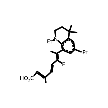 CCN1CCC(C)(C)c2cc(C(C)C)cc(C(C)=C(F)C=CC(C)=CC(=O)O)c21